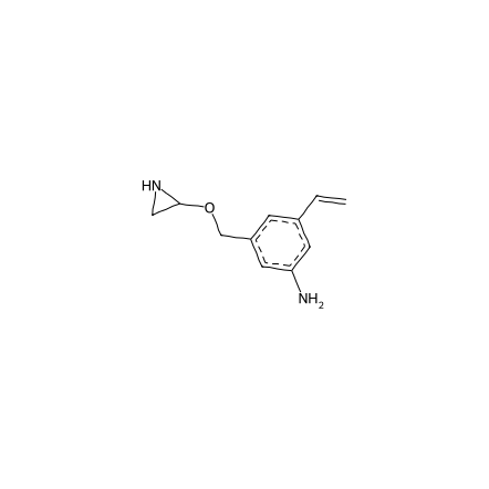 C=Cc1cc(N)cc(COC2CN2)c1